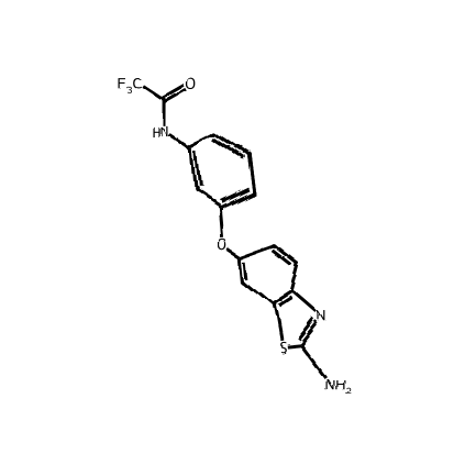 Nc1nc2ccc(Oc3cccc(NC(=O)C(F)(F)F)c3)cc2s1